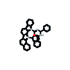 c1ccc(C2=NC(n3c4ccccc4c4ccc5c6ccc7ccccc7c6n(-c6ccccc6)c5c43)=NC(c3ccccc3)N2)cc1